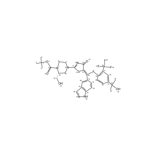 CC(C)(C)OC(=O)N1CCN(C2=NC(=O)C(=C(Cc3ccc(C(C)(C)O)cc3C(F)(F)F)c3ccc4[nH]ncc4c3)S2)C[C@@H]1CO